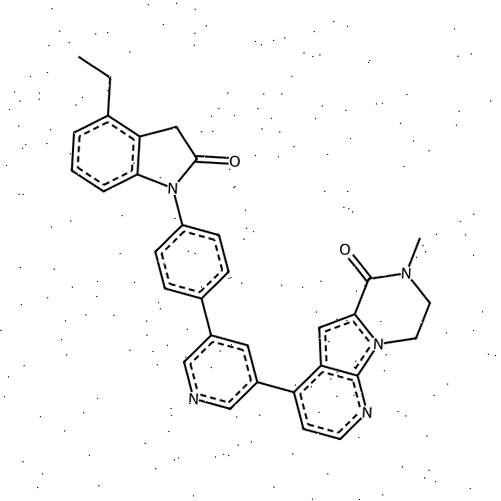 CCc1cccc2c1CC(=O)N2c1ccc(-c2cncc(-c3ccnc4c3cc3n4CCN(C)C3=O)c2)cc1